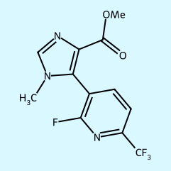 COC(=O)c1ncn(C)c1-c1ccc(C(F)(F)F)nc1F